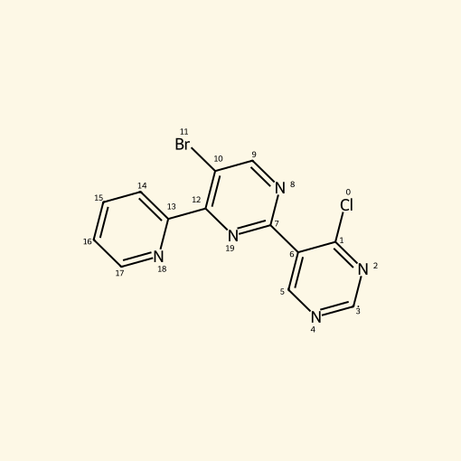 Clc1n[c]ncc1-c1ncc(Br)c(-c2ccccn2)n1